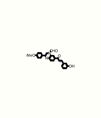 COc1ccc(/C(N)=C/N(C=O)c2cccc(C(=O)/C=C/c3cccc(O)c3)c2)cc1